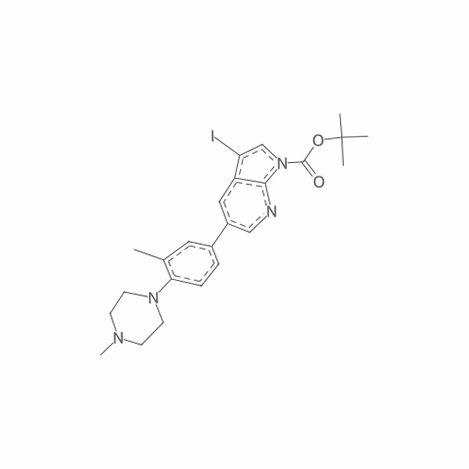 Cc1cc(-c2cnc3c(c2)c(I)cn3C(=O)OC(C)(C)C)ccc1N1CCN(C)CC1